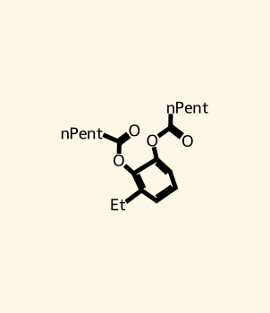 CCCCCC(=O)Oc1cccc(CC)c1OC(=O)CCCCC